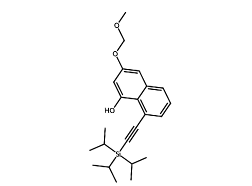 COCOc1cc(O)c2c(C#C[Si](C(C)C)(C(C)C)C(C)C)cccc2c1